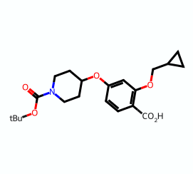 CC(C)(C)OC(=O)N1CCC(Oc2ccc(C(=O)O)c(OCC3CC3)c2)CC1